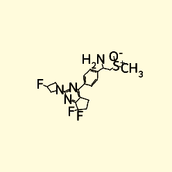 C[S+]([O-])CC(N)c1ccc(-c2nc(N3CC(F)C3)nc3c2CCC3(F)F)cc1